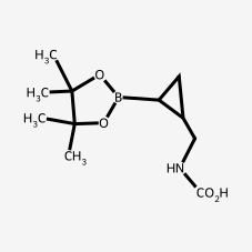 CC1(C)OB(C2CC2CNC(=O)O)OC1(C)C